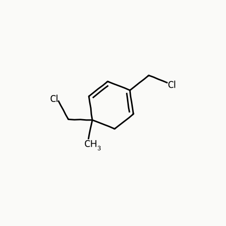 CC1(CCl)C=CC(CCl)=CC1